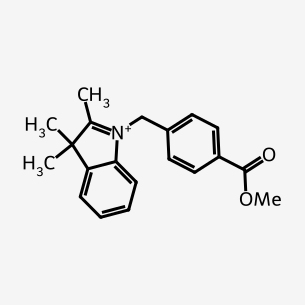 COC(=O)c1ccc(C[N+]2=C(C)C(C)(C)c3ccccc32)cc1